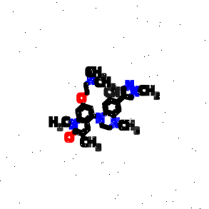 Cc1cc2c(N3CCN(C)c4cc(-c5cnn(C)c5)c(C#N)cc43)cc(OCCN(C)C)cc2n(C)c1=O